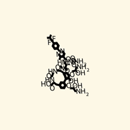 Cc1nc(-c2ccc(C(F)(F)C(C)C)cc2)ncc1C(=O)N[C@@H](CNS(N)(=O)=O)C(=O)N(C)C1C(=O)N[C@@H](C)C(=O)NC(C(=O)O)Cc2ccc(OC[C@H](O)CN)c(c2)-c2cc1cc(OC[C@H](O)CN)c2O